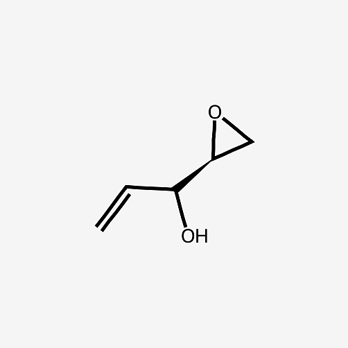 C=CC(O)[C@@H]1CO1